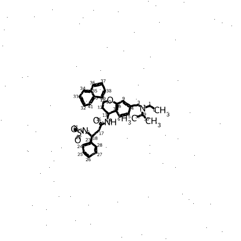 CCN(Cc1ccc2c(c1)OCCC2NC(=O)CC(N=S(=O)=O)c1ccccc1)C(C)C.c1ccc2ccccc2c1